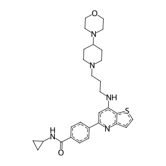 O=C(NC1CC1)c1ccc(-c2cc(NCCCN3CCC(N4CCOCC4)CC3)c3sccc3n2)cc1